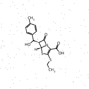 CCSC1=C(C(=O)O)N2C(=O)[C@H](C(O)c3ccc(C)cc3)[C@H]2S1